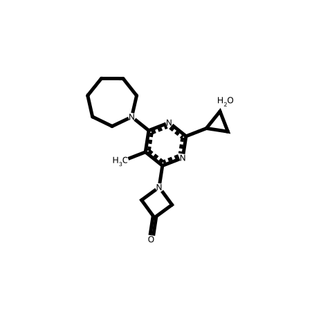 Cc1c(N2CCCCCC2)nc(C2CC2)nc1N1CC(=O)C1.O